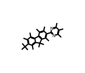 Cc1nc(-c2c(C)c(C)c3c(c2C)C(C)(C)c2c(C)c(C(C)(C)C)c(C)c(C)c2-3)nc(C)c1C